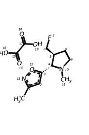 Cc1cc([C@@H]2[C@@H](CF)CCN2C)on1.O=C(O)C(=O)O